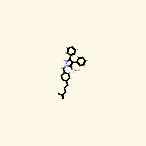 C=C(C)CCCC1CCC(Cn2nc(-c3ccccc3)c(-c3ccccc3)c2CCCCC)CC1